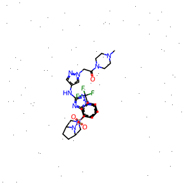 CN1CCN(C(=O)Cn2cc(Nc3nc4c(N5CC6CCC(C5)N6S(=O)(=O)c5cccc(C(F)(F)F)c5)cccn4n3)cn2)CC1